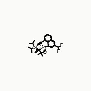 CC(C)[Si](C#Cc1cccc2cc(C(F)F)cc(B3OC(C)(C)C(C)(C)O3)c12)(C(C)C)C(C)C